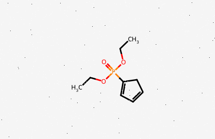 CCOP(=O)(OCC)C1=CC=CC1